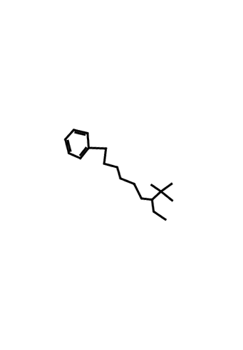 CCC(CCCCCCc1ccccc1)C(C)(C)C